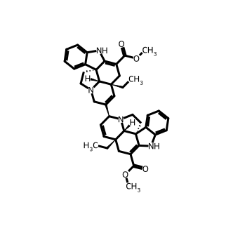 CC[C@]12C=C([C@@H]3C=C[C@@]4(CC)CC(C(=O)OC)=C5Nc6ccccc6[C@@]56CCN3[C@@H]46)CN3CC[C@]4(C(=C(C(=O)OC)C1)Nc1ccccc14)[C@@H]32